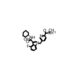 CNC(=O)c1ccc(Cn2cc(C(=O)N[C@H]3CCCC[C@@H]3O)c3c(F)cccc32)cn1